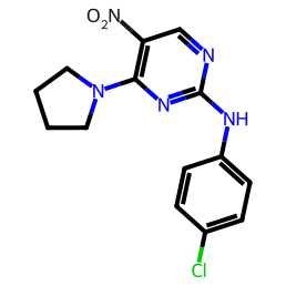 O=[N+]([O-])c1cnc(Nc2ccc(Cl)cc2)nc1N1CCCC1